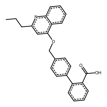 CCCc1cc(OCc2ccc(-c3ccccc3C(=O)O)cc2)c2ccccc2n1